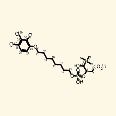 C[N+](C)(C)C([O-])[C@@H](CC(=O)O)OP(=O)(O)OCCCCCCCCOc1ccc(Cl)c(Cl)c1Cl